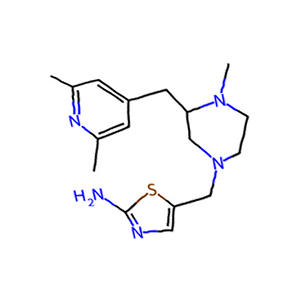 Cc1cc(CC2CN(Cc3cnc(N)s3)CCN2C)cc(C)n1